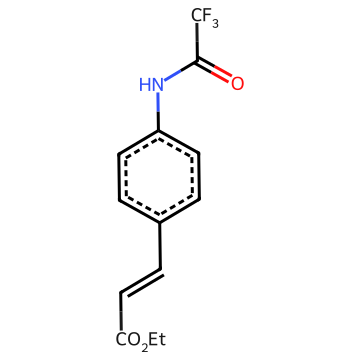 CCOC(=O)C=Cc1ccc(NC(=O)C(F)(F)F)cc1